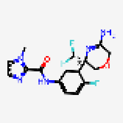 Cn1ccnc1C(=O)NC1=CC=C(F)C([C@]2(C(F)F)COCC(N)=N2)C1